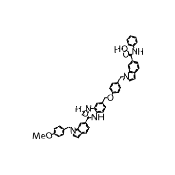 COc1ccc(Cn2ccc3ccc(C(=O)Nc4ccc(COc5ccc(Cn6ccc7ccc(C(=O)Nc8ccccc8O)cc76)cc5)cc4N)cc32)cc1